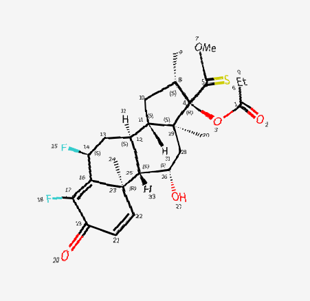 CCC(=O)O[C@]1(C(=S)OC)[C@@H](C)C[C@H]2[C@@H]3C[C@H](F)C4=C(F)C(=O)C=C[C@]4(C)[C@H]3[C@@H](O)C[C@@]21C